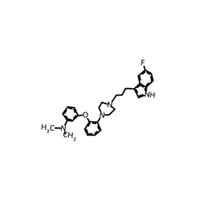 CN(C)c1cccc(Oc2ccccc2N2CCN(CCCc3c[nH]c4ccc(F)cc34)CC2)c1